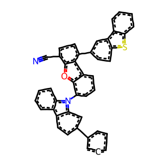 N#Cc1ccc(-c2ccc3sc4ccccc4c3c2)c2c1oc1c(-n3c4ccccc4c4ccc(-c5ccccc5)cc43)cccc12